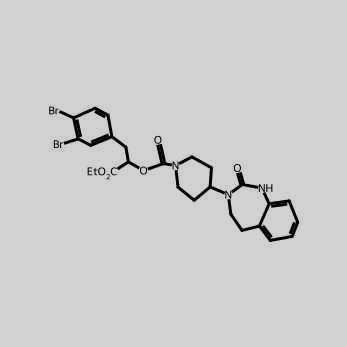 CCOC(=O)C(Cc1ccc(Br)c(Br)c1)OC(=O)N1CCC(N2CCc3ccccc3NC2=O)CC1